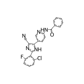 N#Cc1nc(-c2c(F)cccc2Cl)[nH]c1-c1ccc(NC(=O)c2ccccc2)nc1